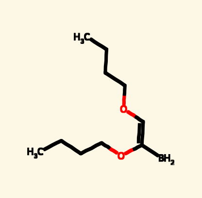 BC(=COCCCC)OCCCC